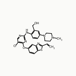 C=Cc1nc2cc(Oc3nc(Nc4ccc(N5CCN(C)CC5)cc4CO)ncc3Cl)ccc2s1